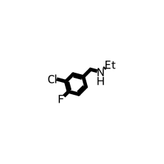 CCNCc1ccc(F)c(Cl)c1